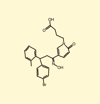 Cc1ccccc1C(CC(=NO)c1ccc(=O)n(CCCC(=O)O)c1)c1ccc(Br)cc1